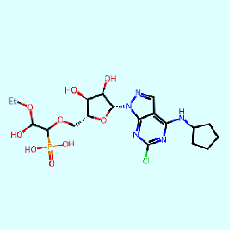 CCOC(O)C(OC[C@H]1O[C@@H](n2ncc3c(NC4CCCC4)nc(Cl)nc32)[C@H](O)[C@@H]1O)P(=O)(O)O